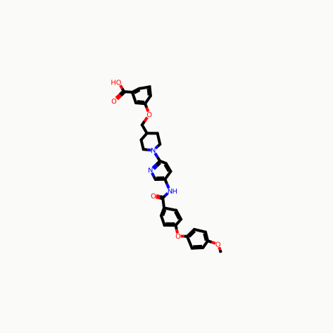 COc1ccc(Oc2ccc(C(=O)Nc3ccc(N4CCC(COc5cccc(C(=O)O)c5)CC4)nc3)cc2)cc1